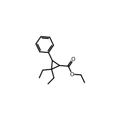 CCOC(=O)C1C(c2ccccc2)C1(CC)CC